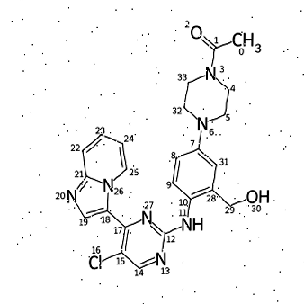 CC(=O)N1CCN(c2ccc(Nc3ncc(Cl)c(-c4cnc5ccccn45)n3)c(CO)c2)CC1